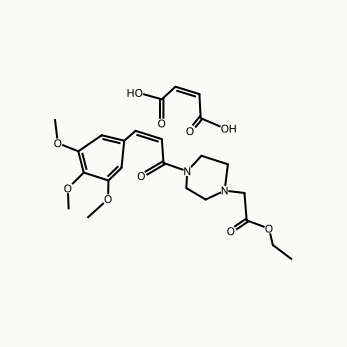 CCOC(=O)CN1CCN(C(=O)/C=C\c2cc(OC)c(OC)c(OC)c2)CC1.O=C(O)/C=C\C(=O)O